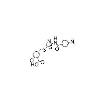 COc1ccc(CSc2cnc(NC(=O)c3ccc(N(C)C)cc3)s2)cc1C(=O)O